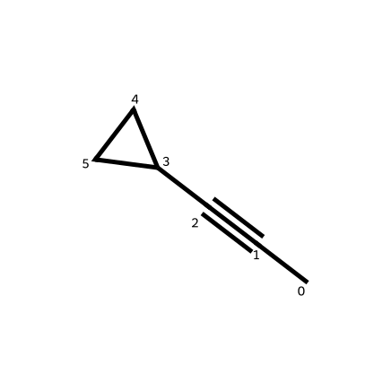 CC#CC1CC1